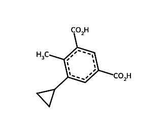 Cc1c(C(=O)O)cc(C(=O)O)cc1C1CC1